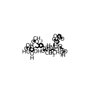 CC(=O)OCc1ccc(NC(=O)[C@H](C)NC(=O)[C@@H](NC(=O)CN2C(=O)[C@@H](N3C(=O)C=CC3=O)C[C@H]2COCC[SH](=O)=O)C(C)C)cc1CC[C@@H]1O[C@H](C(=O)O)[C@@H](O)[C@H](O)[C@H]1O